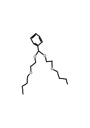 CCCCOCCOC(OCCOCCCC)c1ccccc1